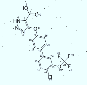 O=C(O)c1[nH]nnc1Oc1ccc(-c2ccc(Cl)c(OC(F)(F)F)c2)cc1